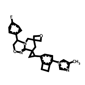 Cc1cn(-c2ccc(C3CC34CC3(COC3)CN3C4=NOCC3c3ccc(F)cc3)c3c2CC3)cn1